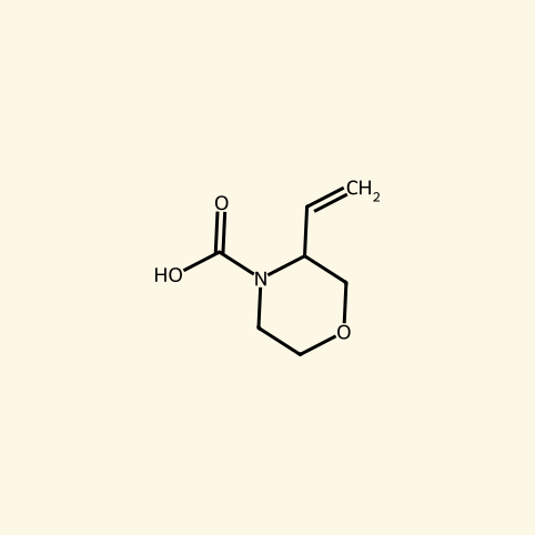 C=CC1COCCN1C(=O)O